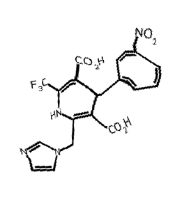 O=C(O)C1=C(Cn2ccnc2)NC(C(F)(F)F)=C(C(=O)O)C1c1cccc([N+](=O)[O-])c1